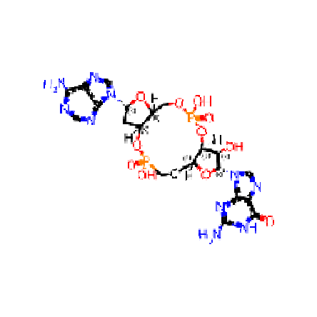 Nc1nc2c(ncn2[C@@H]2O[C@@H]3CCP(=O)(O)O[C@H]4C[C@H](n5cnc6c(N)ncnc65)O[C@@H]4COP(=O)(O)O[C@H]3[C@H]2O)c(=O)[nH]1